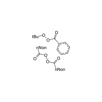 CC(C)(C)OOC(=O)c1ccccc1.CCCCCCCCCC(=O)OOC(=O)CCCCCCCCC